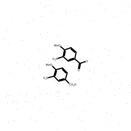 COc1ccc(C(=O)Cl)cc1[N+](=O)[O-].COc1ccc(C(=O)O)cc1[N+](=O)[O-]